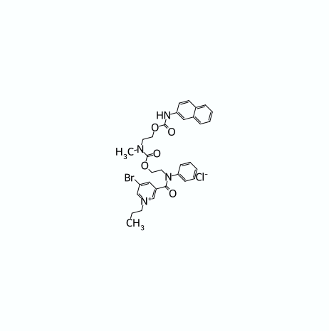 CCC[n+]1cc(Br)cc(C(=O)N(CCOC(=O)N(C)CCOC(=O)Nc2ccc3ccccc3c2)c2ccccc2)c1.[Cl-]